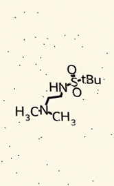 CN(C)CCNS(=O)(=O)C(C)(C)C